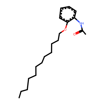 CCCCCCCCCCCCOc1ccccc1NC(C)=O